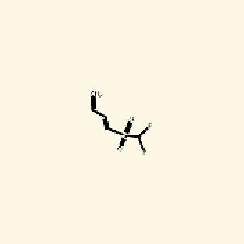 C=C/C=C/S(=O)(=O)C(F)F